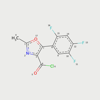 Cc1nc(C(=O)Cl)c(-c2cc(F)c(F)cc2F)o1